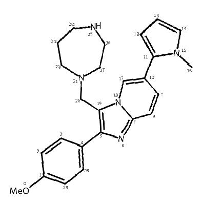 COc1ccc(-c2nc3ccc(-c4cccn4C)cn3c2CN2CCCNCC2)cc1